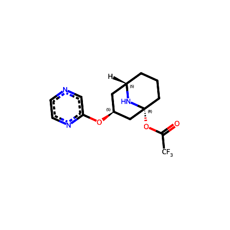 O=C(O[C@]12CCC[C@@H](C[C@H](Oc3cnccn3)C1)N2)C(F)(F)F